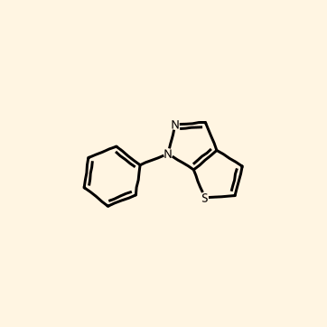 c1ccc(-n2ncc3ccsc32)cc1